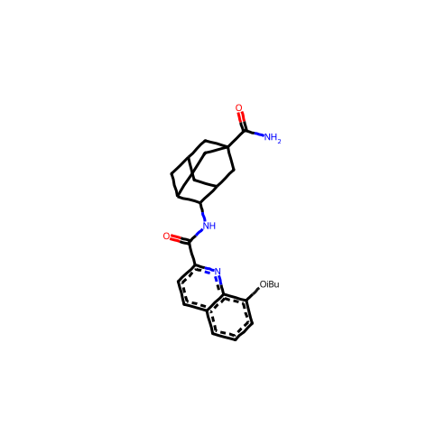 CC(C)COc1cccc2ccc(C(=O)NC3C4CC5CC3CC(C(N)=O)(C5)C4)nc12